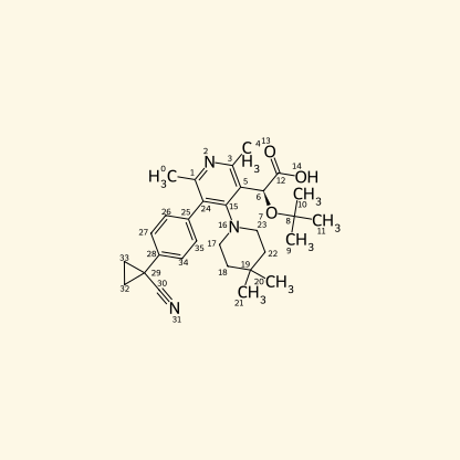 Cc1nc(C)c([C@H](OC(C)(C)C)C(=O)O)c(N2CCC(C)(C)CC2)c1-c1ccc(C2(C#N)CC2)cc1